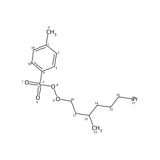 Cc1ccc(S(=O)(=O)OOCCC(C)CCCC(C)C)cc1